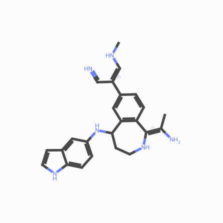 CN/C=C(\C=N)c1ccc2c(c1)C(Nc1ccc3[nH]ccc3c1)CCN/C2=C(/C)N